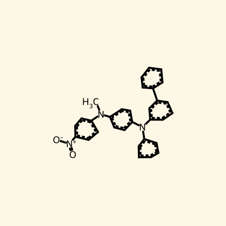 CN(c1ccc(N(c2ccccc2)c2cccc(-c3ccccc3)c2)cc1)c1ccc([N+](=O)[O-])cc1